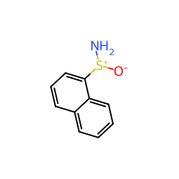 N[S+]([O-])c1cccc2ccccc12